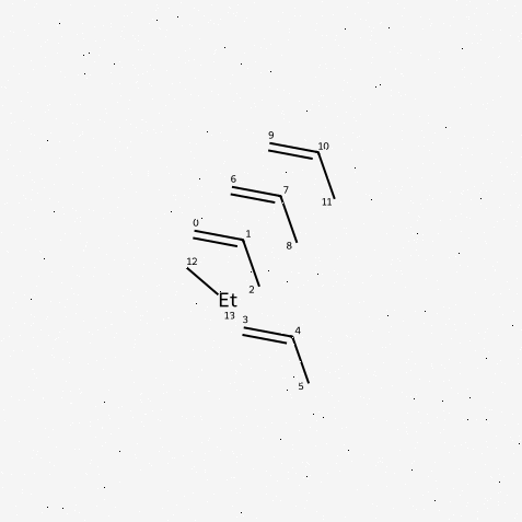 C=CC.C=CC.C=CC.C=CC.CCC